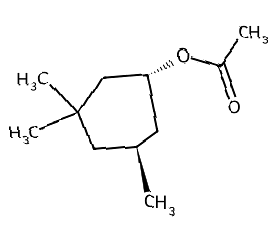 CC(=O)O[C@@H]1C[C@@H](C)CC(C)(C)C1